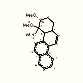 CO[C@@H]1CCC2C=Cc3c(ccc4ccccc34)C2C1(OC)OC